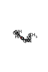 COc1ccc2ncc(F)c(C[C@H](O)C34CCC(NCc5ccc6c(n5)NCCO6)(CC3)CO4)c2n1